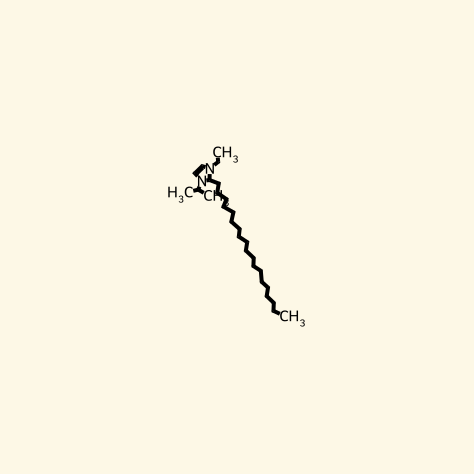 CCCCCCCCCCCCCCCCCCCC1N(CC)C=CN1C(C)C